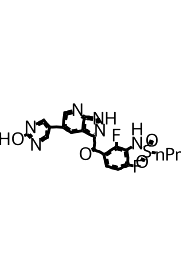 CCCS(=O)(=O)Nc1c(F)ccc(C(=O)c2n[nH]c3ncc(-c4cnc(O)nc4)cc23)c1F